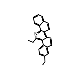 CCc1ccc2c(ccc3c4ccc5ccccc5c4nc(CC)c23)c1